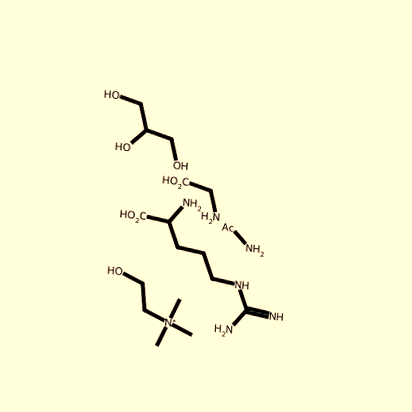 CC(N)=O.C[N+](C)(C)CCO.N=C(N)NCCCC(N)C(=O)O.NCC(=O)O.OCC(O)CO